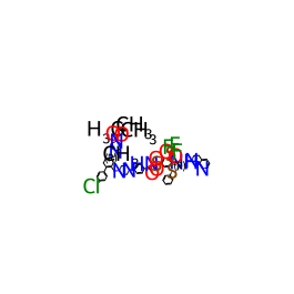 CC(C)(C)OC(=O)N1CCN(C[C@]2(C)CCC(c3ccc(Cl)cc3)=C(CN3CCN(c4ccc(C(=O)NS(=O)(=O)c5ccc(N[C@H](CCN6CCc7cccnc7C6)CSc6ccccc6)c(S(=O)(=O)C(F)(F)F)c5)cc4)CC3)C2)CC1